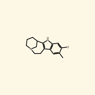 Cc1cc2c3c([nH]c2cc1Cl)C1CCCN(CC3)C1